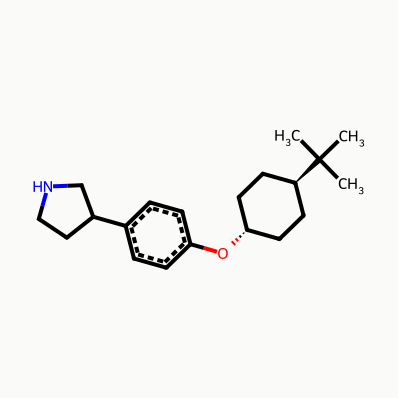 CC(C)(C)[C@H]1CC[C@H](Oc2ccc(C3CCNC3)cc2)CC1